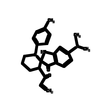 C=CC(=O)C1CCCN(c2ccc(C)cc2)C12Nc1cc(N(C)C)ccc1C2=O